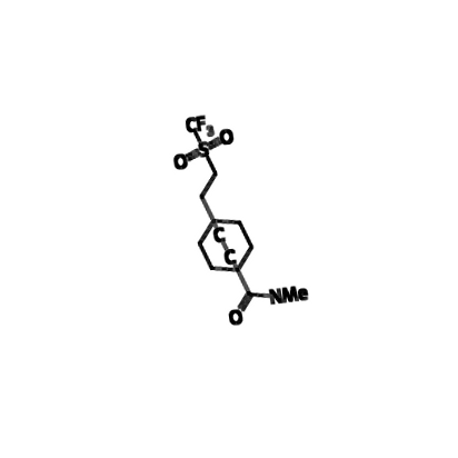 CNC(=O)C12CCC(CCS(=O)(=O)C(F)(F)F)(CC1)CC2